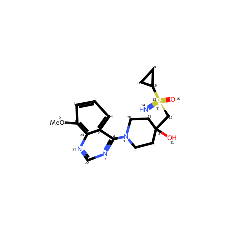 COc1cccc2c(N3CCC(O)(C[S@](=N)(=O)C4CC4)CC3)ncnc12